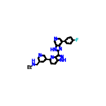 CCNCc1cncc(-c2ccc3[nH]nc(-c4nc5c(-c6ccc(F)cc6)cncc5[nH]4)c3n2)c1